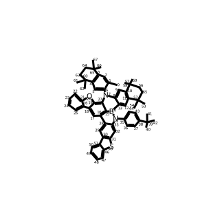 Cc1cc2c(cc1N1c3cc4c(cc3B3c5c(cc6c(oc7ccccc76)c51)-c1cc5c(cc1N3c1ccc(C(C)(C)C)cc1)sc1ccccc15)C(C)(C)CCC4(C)C)C(C)(C)CCC2(C)C